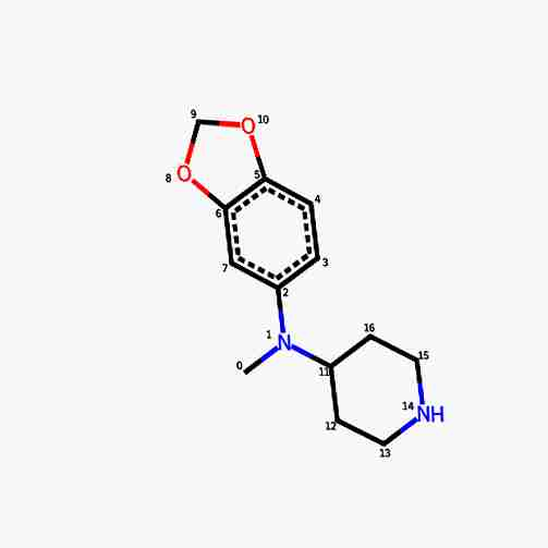 CN(c1ccc2c(c1)OCO2)C1CCNCC1